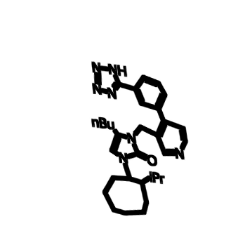 CCCCc1cn(C2CCCCCCC2C(C)C)c(=O)n1Cc1cnccc1-c1cccc(-c2nnn[nH]2)c1